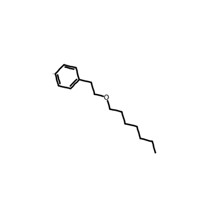 CCCCCCCOCCc1cc[c]cc1